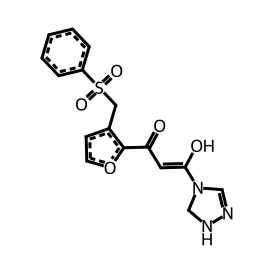 O=C(C=C(O)N1C=NNC1)c1occc1CS(=O)(=O)c1ccccc1